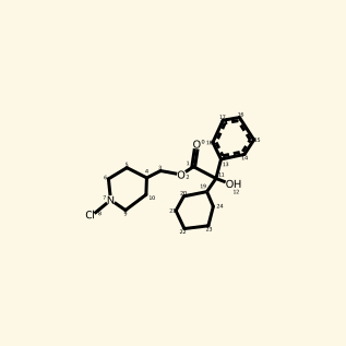 O=C(OCC1CCN(Cl)CC1)C(O)(c1ccccc1)C1CCCCC1